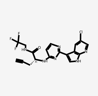 C#CC[C@@H](Nc1ccnc(-c2c[nH]c3ncc(Cl)cc23)n1)C(=O)NCC(F)(F)F